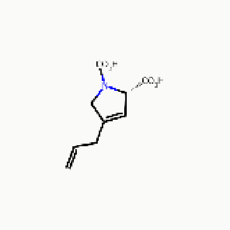 C=CCC1=C[C@@H](C(=O)O)N(C(=O)O)C1